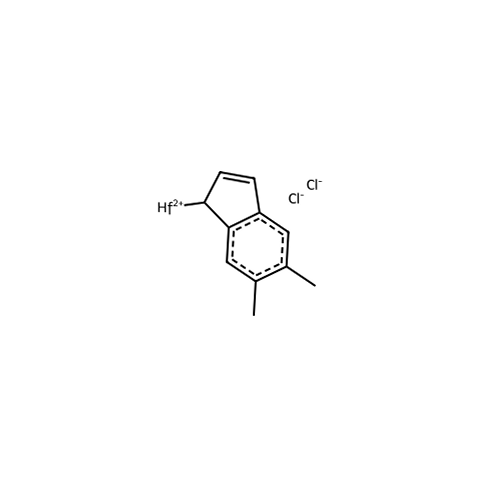 Cc1cc2c(cc1C)[CH]([Hf+2])C=C2.[Cl-].[Cl-]